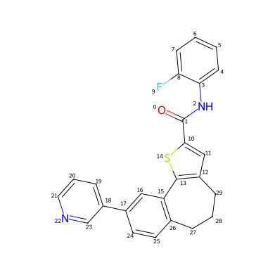 O=C(Nc1ccccc1F)c1cc2c(s1)-c1cc(-c3cccnc3)ccc1CCC2